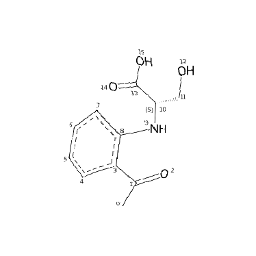 CC(=O)c1ccccc1N[C@@H](CO)C(=O)O